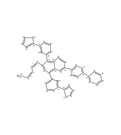 C/C=C\C=C/c1cc(-c2cccc(-c3nccs3)n2)c2cc(-c3ccc(-c4ccccc4)cc3)ccc2c1-c1cccc(-c2nccs2)n1